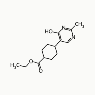 CCOC(=O)C1CCC(c2cnc(C)nc2O)CC1